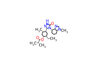 CCc1cc(-c2n[nH]c(=O)n2-c2cccc3c2ncn3C)c(C)cc1OC(=O)C(C)C